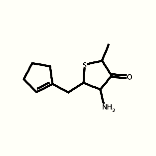 CC1SC(CC2=CCCC2)C(N)C1=O